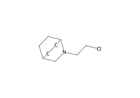 ClCCN1CC2CCC1CC2